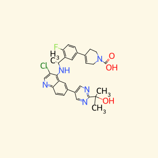 C[C@@H](Nc1c(Cl)cnc2ccc(-c3cnc(C(C)(C)O)nc3)cc12)c1cc(C2=CCN(C(=O)O)CC2)ccc1F